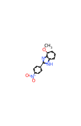 COc1cccc2[nH]c(-c3ccc([N+](=O)[O-])cc3)nc12